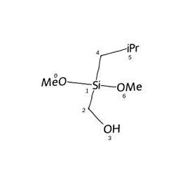 CO[Si](CO)(CC(C)C)OC